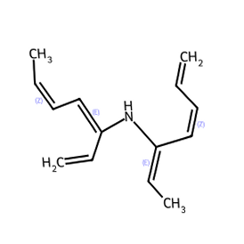 C=C/C=C\C(=C/C)N/C(C=C)=C/C=C\C